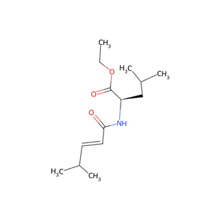 CCOC(=O)[C@@H](CC(C)C)NC(=O)/C=C/C(C)C